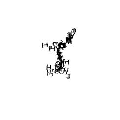 Cc1cc(N2CC3(COC3)C2)ccc1NC1CC2(CC(NC(=O)OC(C)(C)C)C2)C1